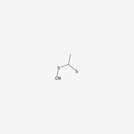 CC([S])SC#N